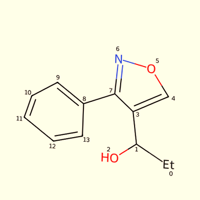 CCC(O)c1conc1-c1ccccc1